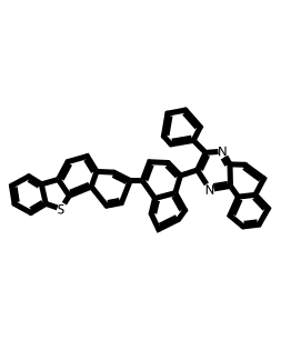 c1ccc(-c2nc3ccc4ccccc4c3nc2-c2ccc(-c3ccc4c(ccc5c6ccccc6sc45)c3)c3ccccc23)cc1